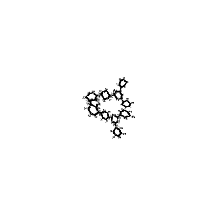 c1ccc(-c2cc(-c3ccccc3)nc(-c3ccc(-c4cccc5c4sc4c(-c6ccc(-c7nc(-c8ccccc8)nc(-c8ccccc8)n7)cc6)cccc45)cc3)n2)cc1